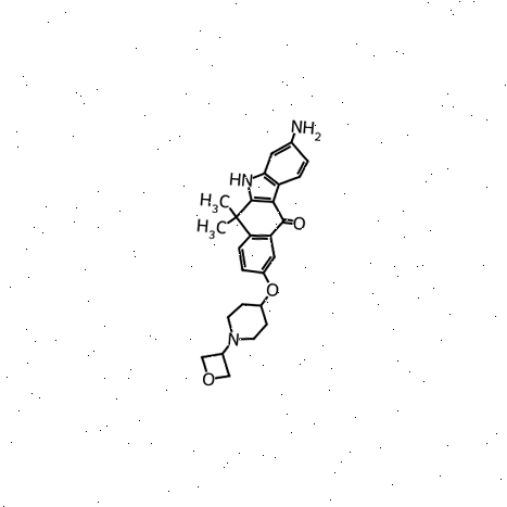 CC1(C)c2ccc(OC3CCN(C4COC4)CC3)cc2C(=O)c2c1[nH]c1cc(N)ccc21